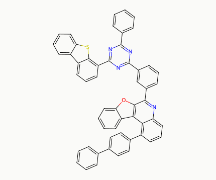 c1ccc(-c2ccc(-c3cccc4nc(-c5cccc(-c6nc(-c7ccccc7)nc(-c7cccc8c7sc7ccccc78)n6)c5)c5oc6ccccc6c5c34)cc2)cc1